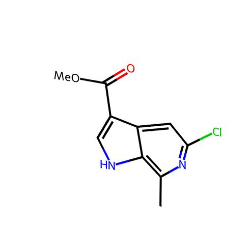 COC(=O)c1c[nH]c2c(C)nc(Cl)cc12